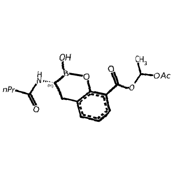 CCCC(=O)N[C@H]1Cc2cccc(C(=O)OC(C)OC(C)=O)c2OB1O